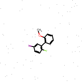 COc1ccc[c]c1-c1cc(I)ccc1F